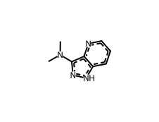 CN(C)c1n[nH]c2cccnc12